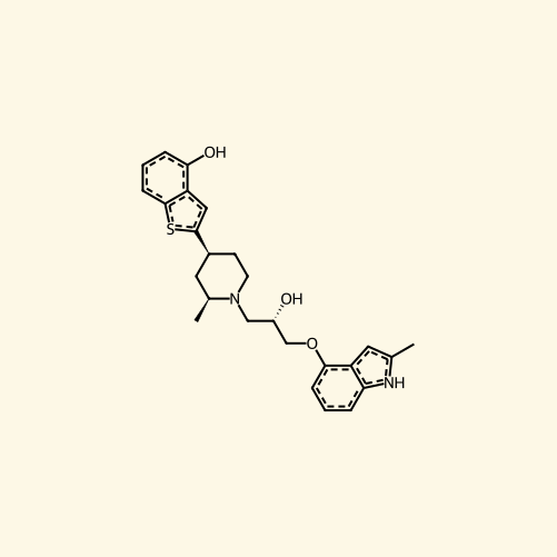 Cc1cc2c(OC[C@@H](O)CN3CC[C@H](c4cc5c(O)cccc5s4)C[C@@H]3C)cccc2[nH]1